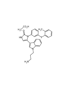 CC(=O)O.Cc1ccccc1Sc1cccc(-n2c(-c3cn(CCCN)c4ccccc34)c[nH]c2=O)c1